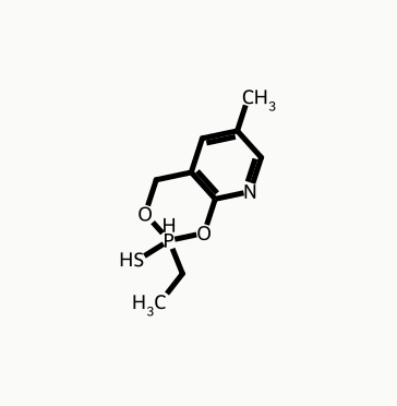 CC[PH]1(S)OCc2cc(C)cnc2O1